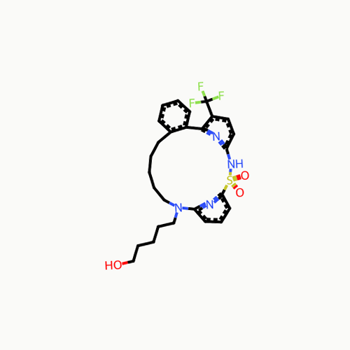 O=S1(=O)Nc2ccc(C(F)(F)F)c(n2)-c2ccccc2CCCCCN(CCCCCO)c2cccc1n2